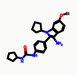 CCOc1ccc2c(N)c(-c3ccc(NC(=O)NC4CCCC4)cc3)n(C3CCCC3)c2c1